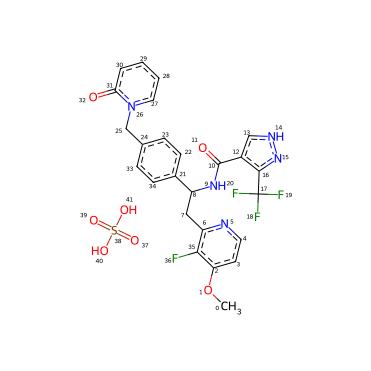 COc1ccnc(CC(NC(=O)c2c[nH]nc2C(F)(F)F)c2ccc(Cn3ccccc3=O)cc2)c1F.O=S(=O)(O)O